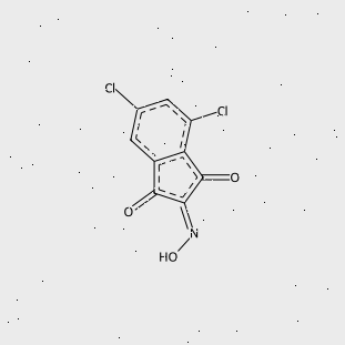 O=c1c(=NO)c(=O)c2c(Cl)cc(Cl)cc12